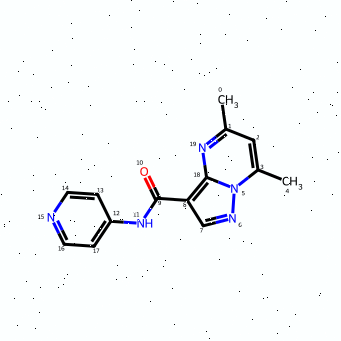 Cc1cc(C)n2ncc(C(=O)Nc3ccncc3)c2n1